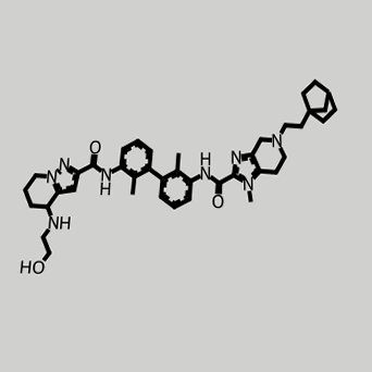 Cc1c(NC(=O)c2cc3n(n2)CCCC3NCCO)cccc1-c1cccc(NC(=O)c2nc3c(n2C)CCN(CCC24CCC(CC2)C4)C3)c1C